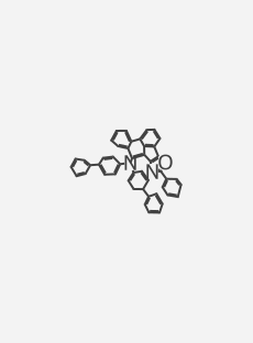 C1=CC(c2ccccc2)CC=C1N(c1ccc(-c2ccccc2)cc1)c1c2c3c(cccc3c3ccccc13)-c1oc(-c3ccccc3)nc1-2